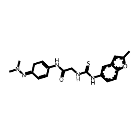 Cc1cc2cc(NC(=S)NCC(=O)NC3=CCC(=NN(C)C)C=C3)ccc2o1